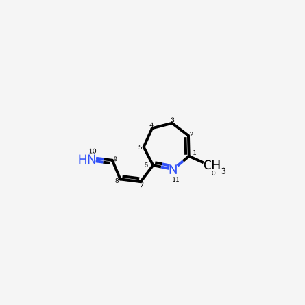 CC1=CCCCC(/C=C\C=N)=N1